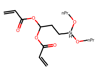 C=CC(=O)OC(CC[SiH](OCCC)OCCC)OC(=O)C=C